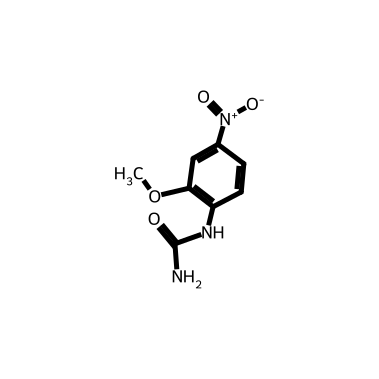 COc1cc([N+](=O)[O-])ccc1NC(N)=O